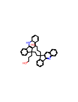 OCCCC1(CCC2(CCCO)c3ccccc3-c3nc4ccccc4cc32)C2=C(NC3C=CC=CC3=C2)c2ccccc21